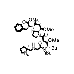 CCCCN(C(=O)CNC[C@]1(C)CCCN1C)[C@@H]([C@@H](C)CC)[C@@H](CC(=O)N1CCC[C@H]1C(OC)[C@@H](C)C(=O)N[C@@H](Cc1ccccc1)C(=O)OC)OC